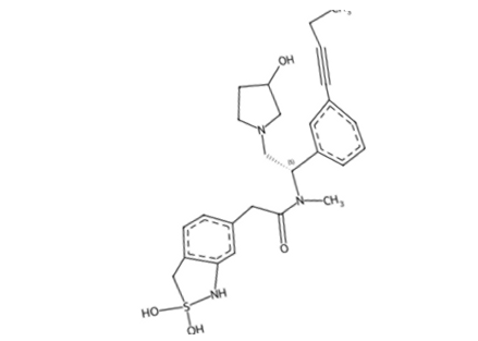 CCC#Cc1cccc([C@@H](CN2CCC(O)C2)N(C)C(=O)Cc2ccc3c(c2)NS(O)(O)C3)c1